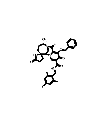 C[C@H]1CC[C@]2(CCC(=O)N2)C2CN1C(=O)c1c(OCc3ccccc3)c(=O)c(C(=O)NCc3c(F)cc(F)cc3F)cn12